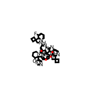 O=C(N1CCCC(O)C1(c1ccc(NCC2(c3ncccc3F)CCC2)nn1)c1cncs1)N1CCCC(O)C1(c1ccc(NCC2(c3ncccc3F)CCC2)nn1)c1cncs1